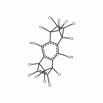 Oc1c2c(c(O)c3c1C1(Cl)C(Cl)=C(Cl)C3(Cl)C1(Cl)Cl)C1(Cl)C(Cl)=C(Cl)C2(Cl)C1(Cl)Cl